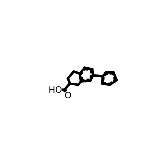 O=C(O)C1CCc2ccc(-c3ccccc3)cc2C1